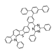 c1ccc(-c2ccc(-c3ccccc3)c(-c3ccc(-c4ccc5sc6c(ccc7c8ccccc8n(-c8ccccc8)c76)c5c4)c(-c4nc(-c5ccccc5)nc(-c5ccccc5)n4)c3)c2)cc1